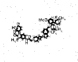 COc1ccc([C@]2(CCN(Cc3ccc4c(cnn4C4CC5(CCN(CC(=O)Nc6ccc7c(c6)n(C)c(=O)n7C6CCC(=O)NC6=O)CC5)C4)c3)CC(C)(C)C(F)(F)F)CCOC(C)(C)C2)cc1